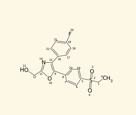 CCS(=O)(=O)c1ccc(-c2oc(CO)nc2-c2ccc(F)cc2)cc1